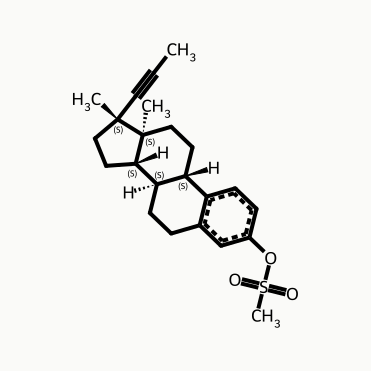 CC#C[C@@]1(C)CC[C@H]2[C@@H]3CCc4cc(OS(C)(=O)=O)ccc4[C@H]3CC[C@@]21C